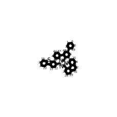 c1ccc(-c2ccc(-c3nc(-c4ccc5c(c4)sc4ccccc45)nc(-c4cccc5ccc6ccccc6c45)n3)c(-c3ccccc3)c2)cc1